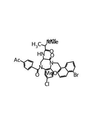 CNC(C)C(=O)NC1CN(C(=O)c2ccc(C(C)=O)cc2)c2cc(Cl)ccc2N(Cc2c(OC)ccc3c(Br)cccc23)C1=O.Cl